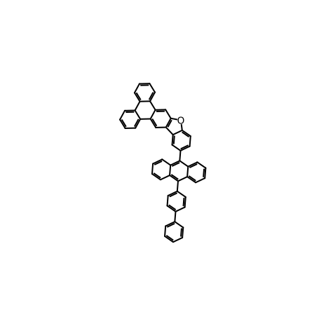 c1ccc(-c2ccc(-c3c4ccccc4c(-c4ccc5oc6cc7c8ccccc8c8ccccc8c7cc6c5c4)c4ccccc34)cc2)cc1